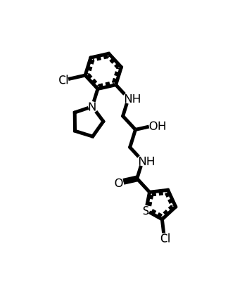 O=C(NCC(O)CNc1cccc(Cl)c1N1CCCC1)c1ccc(Cl)s1